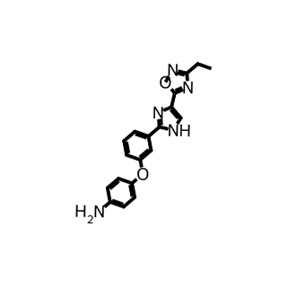 CCc1noc(-c2c[nH]c(-c3cccc(Oc4ccc(N)cc4)c3)n2)n1